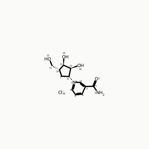 NC(=O)c1ccc[n+]([C@@H]2C[C@H](CO)[C@@H](O)[C@H]2O)c1.[Cl-]